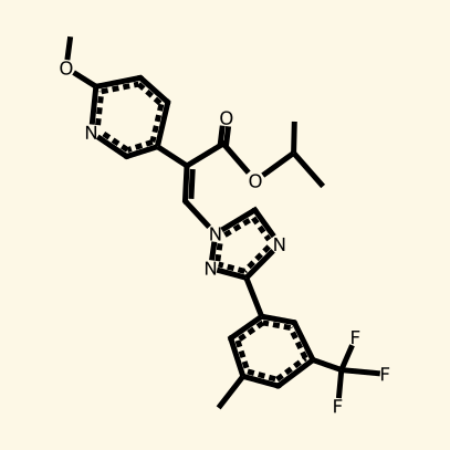 COc1ccc(C(=Cn2cnc(-c3cc(C)cc(C(F)(F)F)c3)n2)C(=O)OC(C)C)cn1